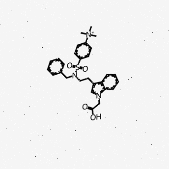 C[N+](C)(C)c1ccc(S(=O)(=O)N(CCc2cn(CC(=O)O)c3ccccc23)Cc2ccccc2)cc1